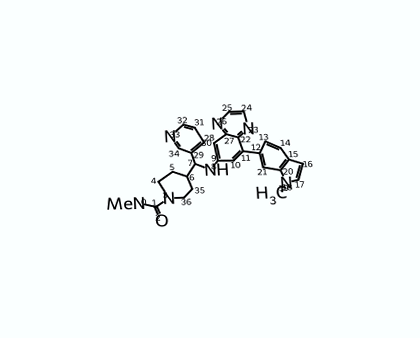 CNC(=O)N1CCC(C(Nc2cc(-c3ccc4ccn(C)c4c3)c3nccnc3c2)c2cccnc2)CC1